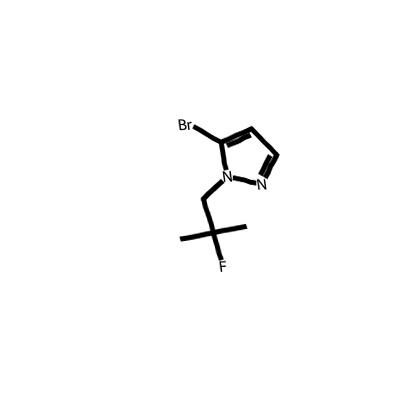 CC(C)(F)Cn1nccc1Br